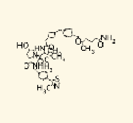 Cc1ncsc1-c1ccc(CNC(=O)[C@@H]2C[C@@H](O)CN2C(=O)[C@@H](NC(=O)CC2CC(Cc3ccc(CO[C@H](C)CCCC(N)=O)cc3)C2)C(C)(C)C)cc1